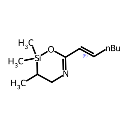 CCCC/C=C/C1=NCC(C)[Si](C)(C)O1